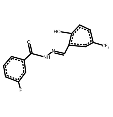 O=C(N/N=C/c1cc(C(F)(F)F)ccc1O)c1cccc(F)c1